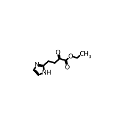 CCOC(=O)C(=O)CCc1ncc[nH]1